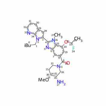 CCC(C)Cn1c(-c2nc3cc(C(=O)N4CC[C@@H](OC)[C@@H](N)C4)cc(OC(C)F)c3n2C)cc2cccnc21